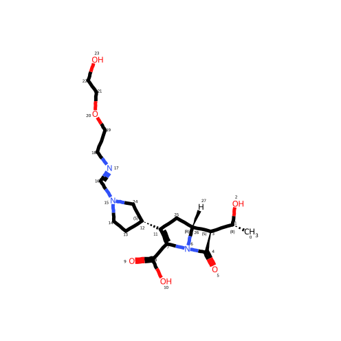 C[C@@H](O)[C@H]1C(=O)N2C(C(=O)O)=C([C@@H]3CCN(C=NCCOCCO)C3)C[C@H]12